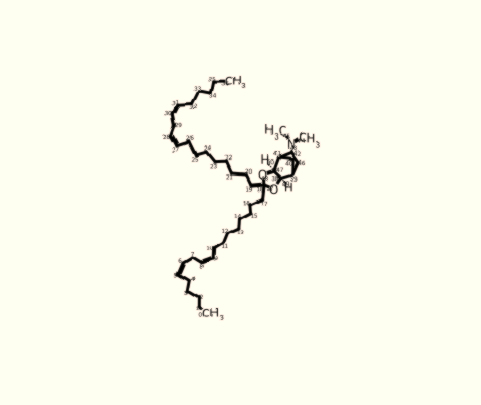 CCCCC/C=C\C/C=C\CCCCCCCCC1(CCCCCCCC/C=C\C/C=C\CCCCC)O[C@@H]2C3CC([C@H](N(C)C)C3)[C@@H]2O1